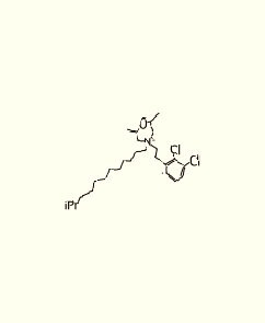 CC(C)CCCCCCCCCC[N+]1(CCc2[c]ccc(Cl)c2Cl)CC(C)OC(C)C1